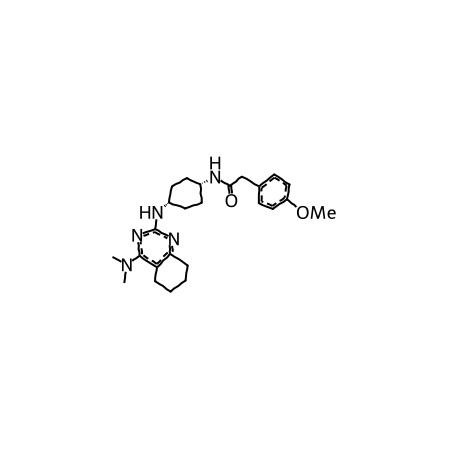 COc1ccc(CC(=O)N[C@H]2CC[C@@H](Nc3nc4c(c(N(C)C)n3)CCCC4)CC2)cc1